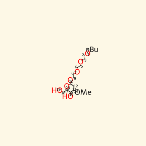 CCCCOCCOCCOCCOC1CC(OC)C(O)C(CO)O1